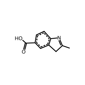 CC1=Nc2ccc(C(=O)O)cc2C1